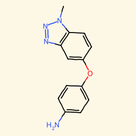 Cn1nnc2cc(Oc3ccc(N)cc3)ccc21